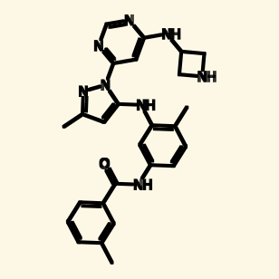 Cc1cccc(C(=O)Nc2ccc(C)c(Nc3cc(C)nn3-c3cc(NC4CNC4)ncn3)c2)c1